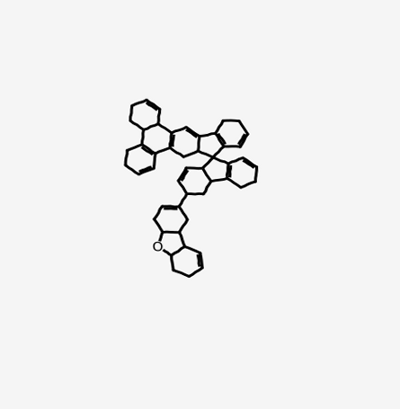 C1=CC2=C(CC1)C1=CC3=C(CC1C21C2=C(CCC=C2)C2CC(C4=CCC5OC6CCC=CC6C5C4)C=CC21)C1=C(CCC=C1)C1CCC=CC31